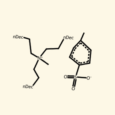 CCCCCCCCCCCC[N+](C)(CCCCCCCCCCCC)CCCCCCCCCCCC.Cc1ccc(S(=O)(=O)[O-])cc1